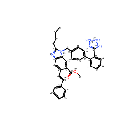 CCCCc1nc2cc(/C=C/c3ccccc3)c(C(=O)OC)cc2n1Cc1ccc(-c2ccccc2C2=NNNN2)cc1